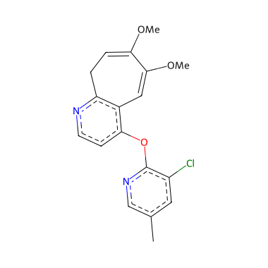 COC1=CCc2nccc(Oc3ncc(C)cc3Cl)c2C=C1OC